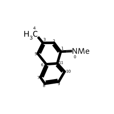 CNc1cc(C)cc2ccccc12